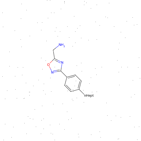 CCCCCCCc1ccc(-c2noc(CN)n2)cc1